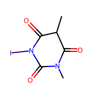 CC1C(=O)N(C)C(=O)N(I)C1=O